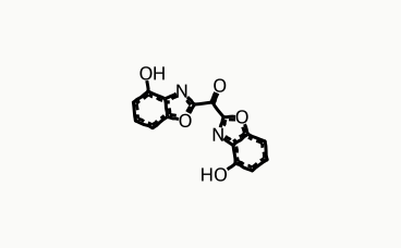 O=C(c1nc2c(O)cccc2o1)c1nc2c(O)cccc2o1